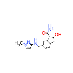 Cn1ccc(NCc2ccc3c(c2)[C@@H](C(N)=O)[C@H](O)C3)n1